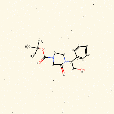 CC(C)(C)OC(=O)N1CCN(C(CO)c2ccccc2)C(=O)C1